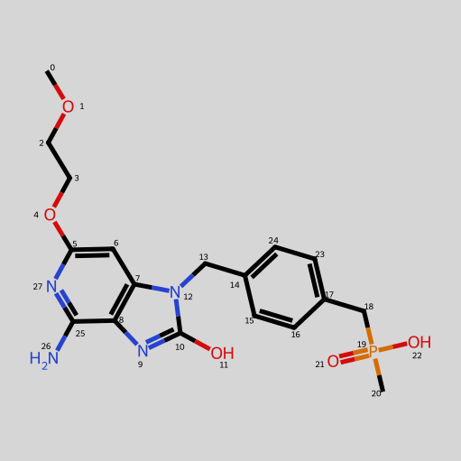 COCCOc1cc2c(nc(O)n2Cc2ccc(CP(C)(=O)O)cc2)c(N)n1